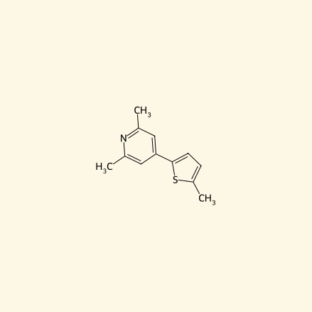 Cc1cc(-c2ccc(C)s2)cc(C)n1